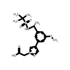 COc1cc(-c2cnn(CC(=O)O)c2)cc([C@@H](C)NS(=O)(=O)C(C)(C)C)c1